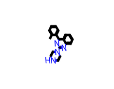 Cc1ccccc1-c1nc(N2CCNCC2)nc2ccccc12